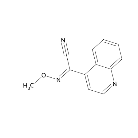 CO/N=C(\C#N)c1ccnc2ccccc12